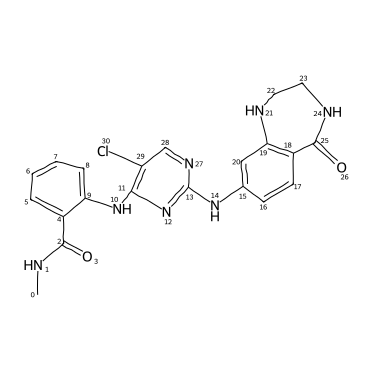 CNC(=O)c1ccccc1Nc1nc(Nc2ccc3c(c2)NCCNC3=O)ncc1Cl